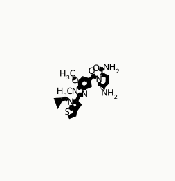 COc1cc(C(=O)N2C[C@H](N)CC[C@@H]2C(N)=O)cc2nc(-c3cc4ccsc4n3CC3CC3)n(C)c12